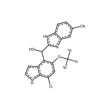 [2H]C([2H])([2H])Oc1cc(Cl)c2[nH]ccc2c1C(O)c1nc2cc(C#N)ccc2[nH]1